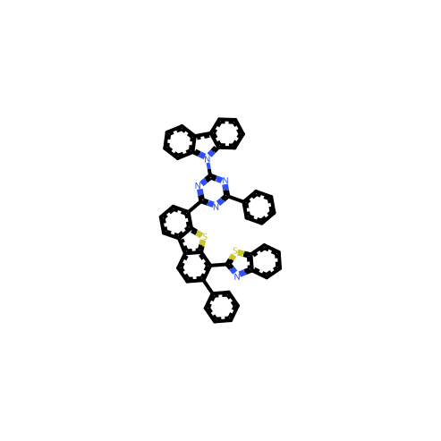 c1ccc(-c2nc(-c3cccc4c3sc3c(-c5nc6ccccc6s5)c(-c5ccccc5)ccc34)nc(-n3c4ccccc4c4ccccc43)n2)cc1